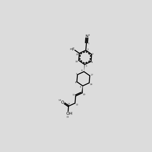 N#Cc1ccc([C@H]2CC[C@H](C=CCC(=O)O)CC2)cc1F